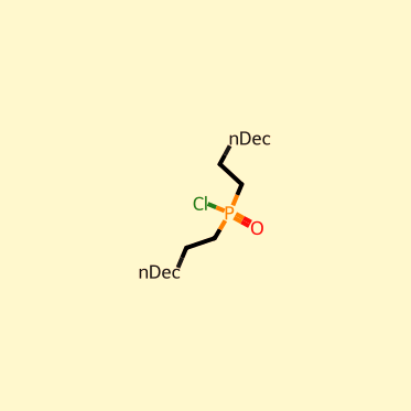 CCCCCCCCCCCCP(=O)(Cl)CCCCCCCCCCCC